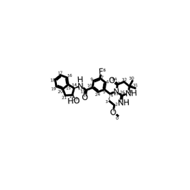 COCC[C@H](c1cc(F)cc(C(=O)N[C@@H]2c3ccccc3C[C@H]2O)c1)N1C(=N)NC(C)(C)CC1=O